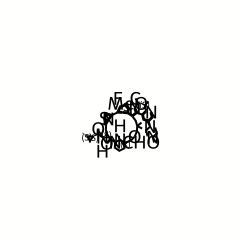 CO[C@@H](C)c1ncc(N2CCN(C)CC2)cc1-c1c2c3cc(ccc3n1CC(F)(F)F)-c1csc(n1)C[C@H](NC(=O)[C@H]1C[C@@H]1C)C(=O)N1CCC[C@](C=O)(COCC(C)(C)C2)N1